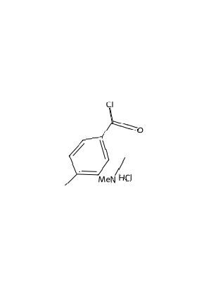 CNC.Cc1ccc(C(=O)Cl)cc1.Cl